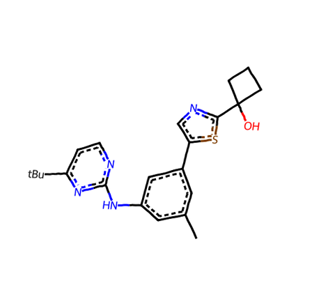 Cc1cc(Nc2nccc(C(C)(C)C)n2)cc(-c2cnc(C3(O)CCC3)s2)c1